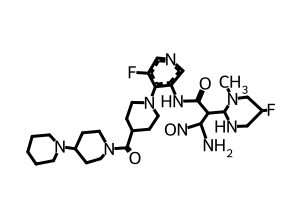 CN1CC(F)CNC1C(C(=O)Nc1cncc(F)c1N1CCC(C(=O)N2CCC(N3CCCCC3)CC2)CC1)C(N)N=O